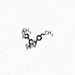 CCCc1ccc(-c2cnc3c(C(F)(F)F)cc(-c4ccc(OC)nc4)cn23)cc1